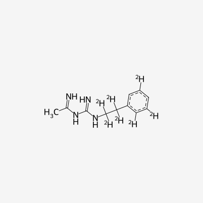 [2H]c1cc([2H])c([2H])c(C([2H])([2H])C([2H])([2H])NC(=N)NC(C)=N)c1